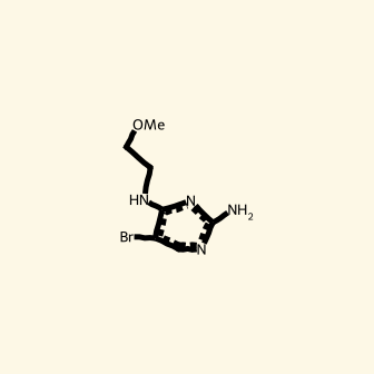 COCCNc1nc(N)ncc1Br